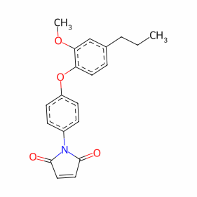 CCCc1ccc(Oc2ccc(N3C(=O)C=CC3=O)cc2)c(OC)c1